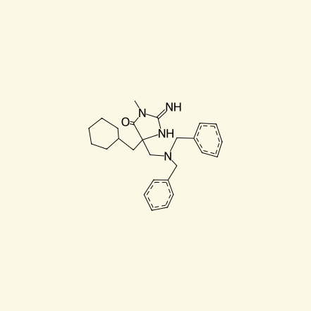 CN1C(=N)NC(CC2CCCCC2)(CN(Cc2ccccc2)Cc2ccccc2)C1=O